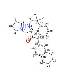 CC1(C)CNC(CN2CCCC2)(C(=O)Cc2ccc3c(c2)CCCC3)c2ccccc21